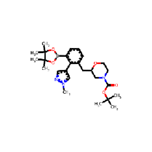 Cn1cc(-c2c(CC3CN(C(=O)OC(C)(C)C)CCO3)cccc2B2OC(C)(C)C(C)(C)O2)cn1